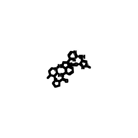 COc1nn(C)cc1Nc1nccc(-c2c[nH]c3c(NC(=O)C4CCCN4C4CN(C)CCC4C)cccc23)n1